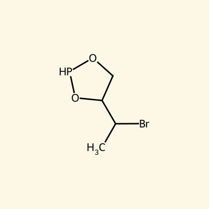 CC(Br)C1COPO1